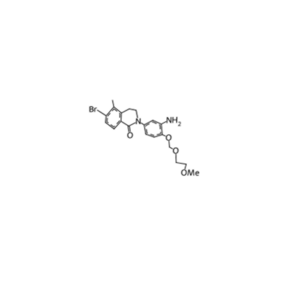 COCCOCOc1ccc(N2CCc3c(ccc(Br)c3C)C2=O)cc1N